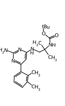 Cc1cccc(-c2cc(NCC(C)(C)NC(=O)OC(C)(C)C)nc(N)n2)c1C